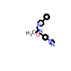 Cc1oc(-c2ccc(-n3ccnc3)cc2)nc1CN1CCC(c2ccccc2)CC1